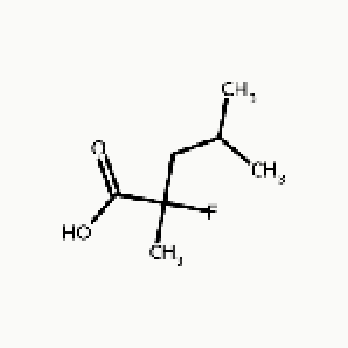 CC(C)CC(C)(F)C(=O)O